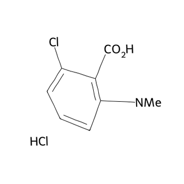 CNc1cccc(Cl)c1C(=O)O.Cl